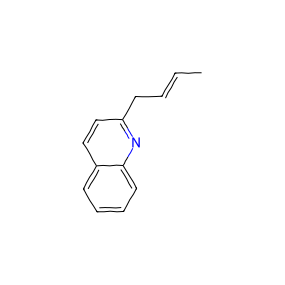 C/C=C/Cc1ccc2ccccc2n1